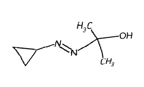 CC(C)(O)N=NC1CC1